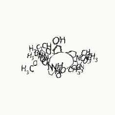 CCn1c(-c2cccnc2[C@H](C)OC)c2c3cc(ccc31)-c1cc(O)cc(c1)C[C@H](NC(=O)C(C(C)C)N(C)C(=O)[C@H]1C[C@@H](C)C1)C(=O)N1CCC[C@H](N1)C(=O)OCC(C)(C)C2